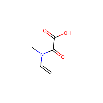 C=CN(C)C(=O)C(=O)O